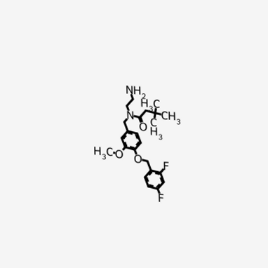 COc1cc(CN(CCN)C(=O)CC(C)(C)C)ccc1OCc1ccc(F)cc1F